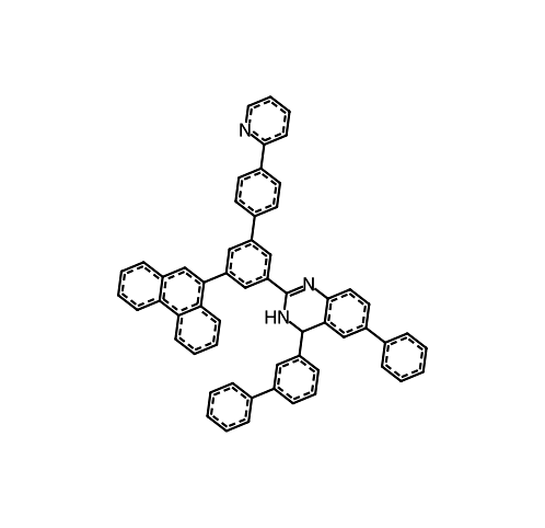 c1ccc(-c2cccc(C3NC(c4cc(-c5ccc(-c6ccccn6)cc5)cc(-c5cc6ccccc6c6ccccc56)c4)=Nc4ccc(-c5ccccc5)cc43)c2)cc1